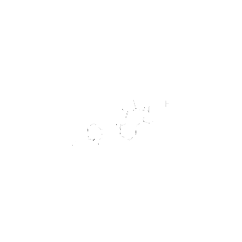 O=c1nc2n(Cc3ccc(Cl)nc3)cccc-2c(=O)n1CCF